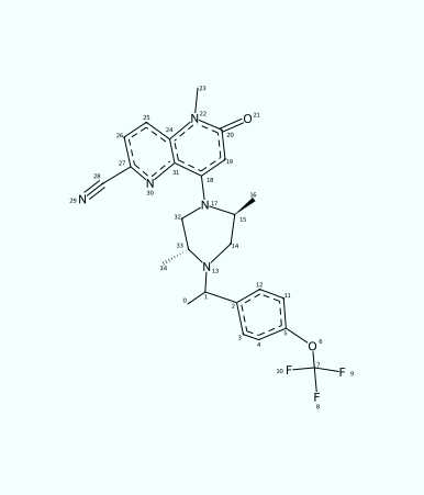 CC(c1ccc(OC(F)(F)F)cc1)N1C[C@H](C)N(c2cc(=O)n(C)c3ccc(C#N)nc23)C[C@H]1C